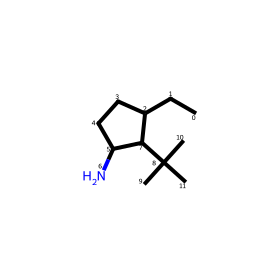 CCC1CCC(N)C1C(C)(C)C